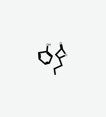 CCCC1CC(=O)O1.Oc1ccccc1